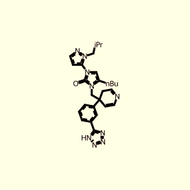 CCCCc1cn(-c2ccnn2CC(C)C)c(=O)n1CC1(c2cccc(-c3nnn[nH]3)c2)C=CN=CC1